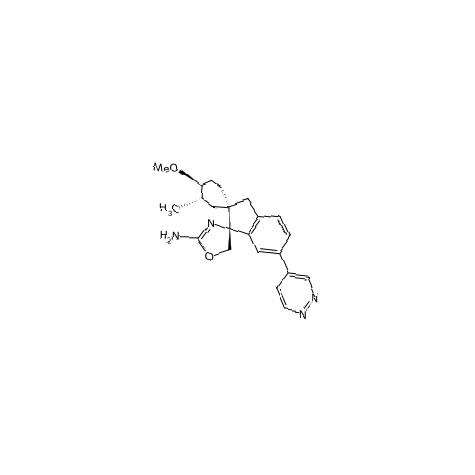 CO[C@H]1CC[C@@]2(Cc3ccc(-c4ccnnc4)cc3[C@@]23COC(N)=N3)C[C@@H]1C